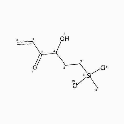 C=CC(=O)C(O)CC[Si](C)(Cl)Cl